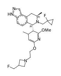 COC1=NC(OCCN2CC(CF)C2)=CC(C)C1[C@@H]1c2ccc3[nH]ncc3c2C[C@@H](C)N1CC1(F)CC1